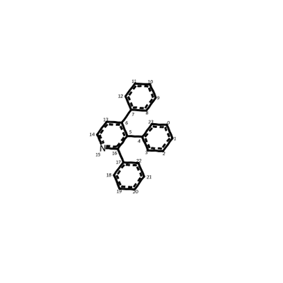 [c]1cccc(-c2c(-c3ccccc3)ccnc2-c2ccccc2)c1